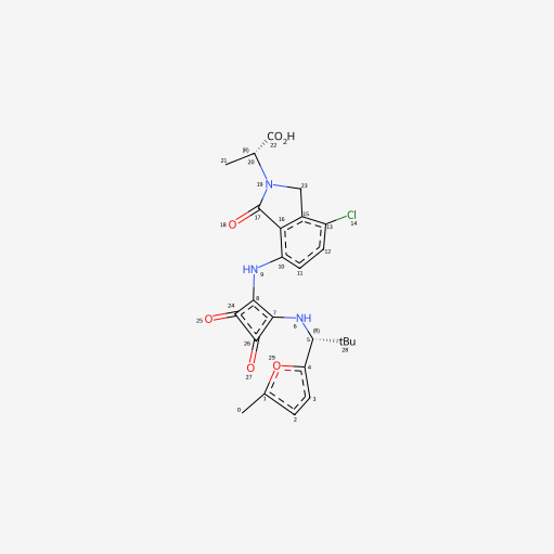 Cc1ccc([C@H](Nc2c(Nc3ccc(Cl)c4c3C(=O)N([C@H](C)C(=O)O)C4)c(=O)c2=O)C(C)(C)C)o1